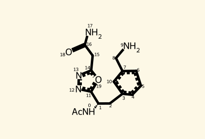 CC(=O)N[C@@H](Cc1cccc(CN)c1)c1nnc(CC(N)=O)o1